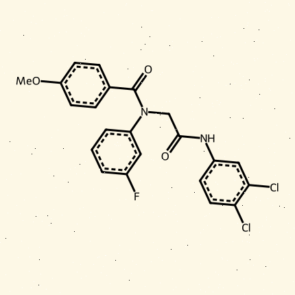 COc1ccc(C(=O)N(CC(=O)Nc2ccc(Cl)c(Cl)c2)c2cccc(F)c2)cc1